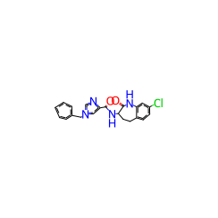 O=C(NC1CCc2ccc(Cl)cc2NC1=O)c1cn(Cc2ccccc2)cn1